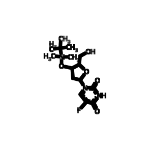 CC(C)(C)[Si](C)(C)OC1CC(n2cc(F)c(=O)[nH]c2=O)OC1CO